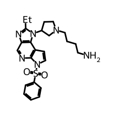 CCc1nc2cnc3c(ccn3S(=O)(=O)c3ccccc3)c2n1C1CCN(CCCCN)C1